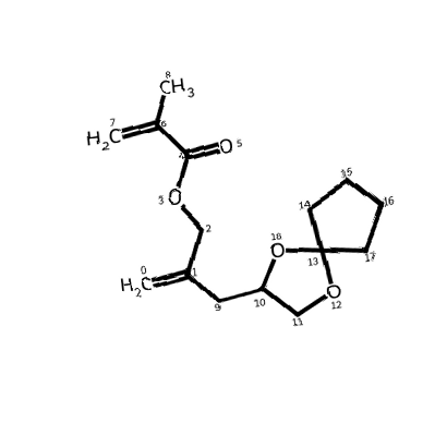 C=C(COC(=O)C(=C)C)CC1COC2(CCCC2)O1